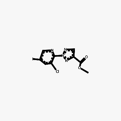 COC(=O)c1cnn(-c2ncc(I)cc2Cl)n1